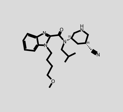 COCCCCn1c(C(=O)N(CC(C)C)[C@@H]2CNC[C@H](C#N)C2)nc2ccccc21